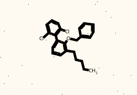 CCCCCc1cccc(-c2c(Cl)cccc2Cl)c1OCc1ccccc1